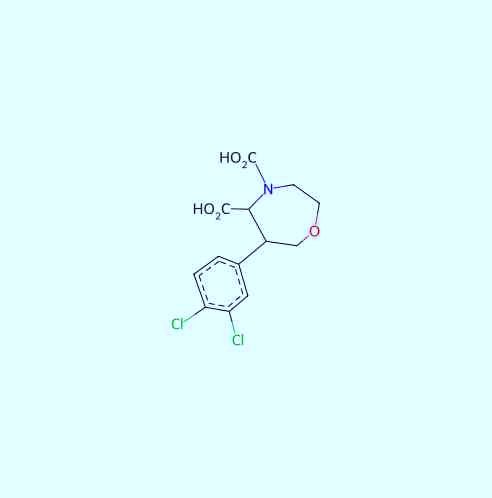 O=C(O)C1C(c2ccc(Cl)c(Cl)c2)COCCN1C(=O)O